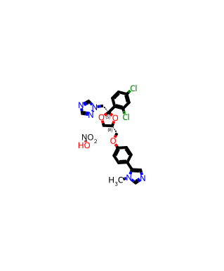 Cn1cncc1-c1ccc(OC[C@@H]2CO[C@@](Cn3cncn3)(c3ccc(Cl)cc3Cl)O2)cc1.O=[N+]([O-])O